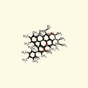 BBB(B)B(B(B)B)c1c(C)c(C)c(B(B)B(B)B)c2c(-c3c4c(C)c(C)c(C)c(C)c4c(C)c4c(-c5c(C)c(C)c(C)c(C)c5C)c(C)c(C)c(C)c34)c(B(B)B)c(BB)c(B)c12